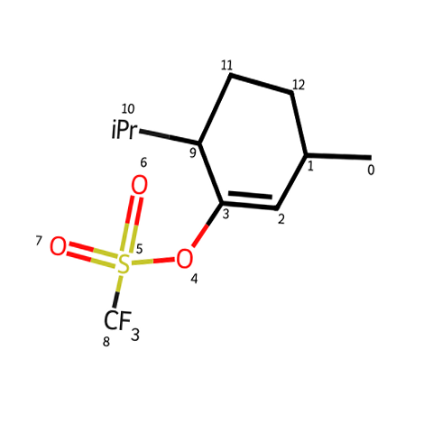 CC1C=C(OS(=O)(=O)C(F)(F)F)C(C(C)C)CC1